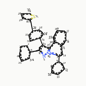 c1ccc(-c2nn3c(-c4ccccc4)cc4ccccc4c3c2-c2ccc(-c3cccs3)cc2)cc1